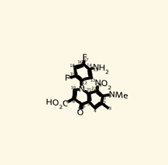 CNc1c(C)cc2c(=O)c(C(=O)O)cn(-c3cc(N)c(F)cc3F)c2c1[N+](=O)[O-]